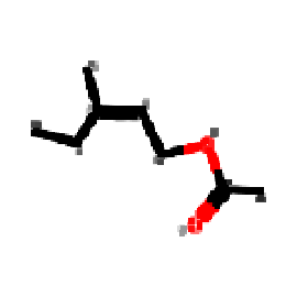 CC/C(C)=C\COC(C)=O